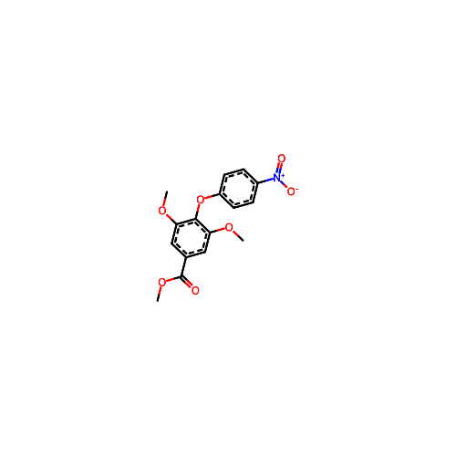 COC(=O)c1cc(OC)c(Oc2ccc([N+](=O)[O-])cc2)c(OC)c1